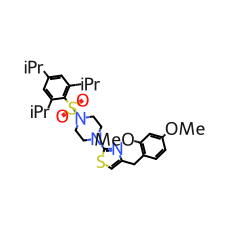 COc1ccc(Cc2csc(N3CCN(S(=O)(=O)c4c(C(C)C)cc(C(C)C)cc4C(C)C)CC3)n2)c(OC)c1